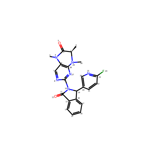 C[C@@H]1C(=O)N(C)c2cnc(N3C(=O)c4ccccc4C3c3ccc(F)nc3)nc2N1C